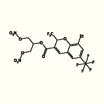 CCc1cc(S(F)(F)(F)(F)F)cc2c1OC(C(F)(F)F)C(C(=O)OC(CO[N+](=O)[O-])CO[N+](=O)[O-])=C2